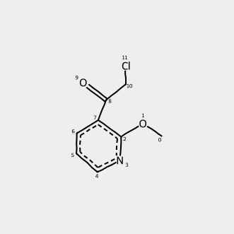 COc1ncccc1C(=O)CCl